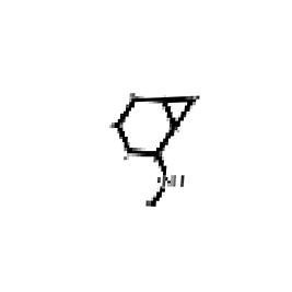 CNC1CCCC2CC21